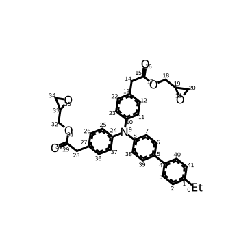 CCc1ccc(-c2ccc(N(c3ccc(CC(=O)OCC4CO4)cc3)c3ccc(CC(=O)OCC4CO4)cc3)cc2)cc1